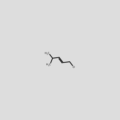 CC(C)/C=C/C[O]